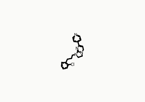 Clc1ccccc1CCCN1CCN2CC=C(c3ccncc3)N=C21